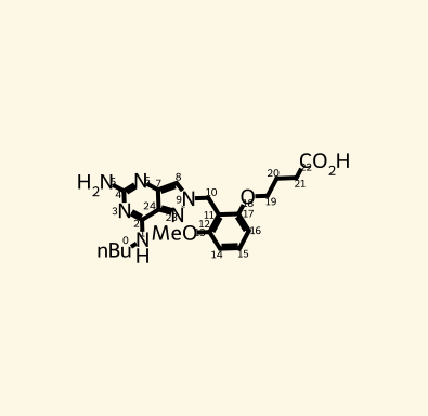 CCCCNc1nc(N)nc2cn(Cc3c(OC)cccc3OCCCC(=O)O)nc12